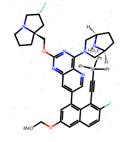 COCOc1cc(-c2cnc3c(N4C[C@H]5CC[C@@H](C4)N5C(=O)O)nc(OC[C@@]45CCCN4C[C@H](F)C5)nc3c2)c2c(C#C[Si](C(C)C)(C(C)C)C(C)C)c(F)ccc2c1